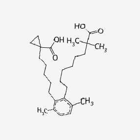 Cc1ccc(C)c(CCCCCC2(C(=O)O)CC2)c1CCCCCCC(C)(C)C(=O)O